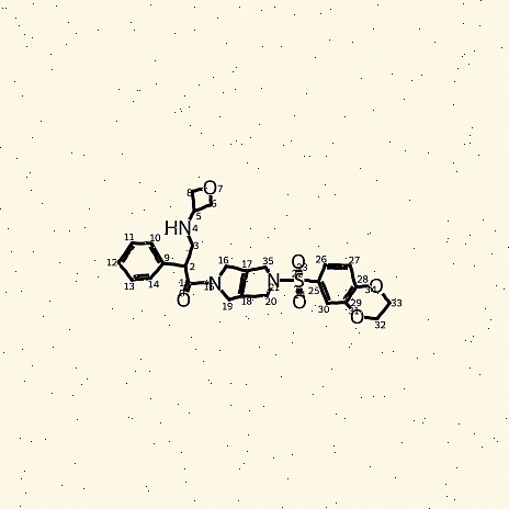 O=C(C(CNC1COC1)c1ccccc1)N1CC2=C(C1)CN(S(=O)(=O)c1ccc3c(c1)OCCO3)C2